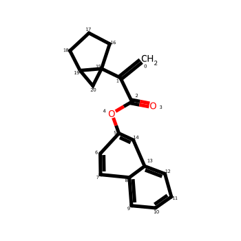 C=C(C(=O)Oc1ccc2ccccc2c1)C12CCCC1C2